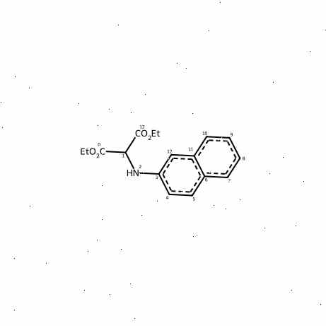 CCOC(=O)C(Nc1ccc2ccccc2c1)C(=O)OCC